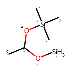 CC(O[SiH3])O[Si](C)(C)C